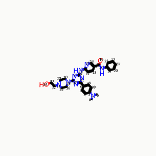 CN(C)c1ccc(-c2nc(Nc3ccc(C(=O)Nc4ccccc4)cn3)nc(N3CCN(CCO)CC3)n2)cc1